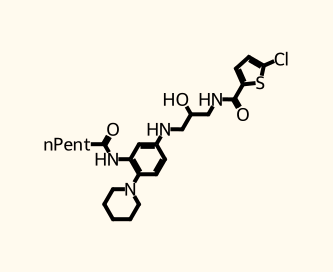 CCCCCC(=O)Nc1cc(NCC(O)CNC(=O)c2ccc(Cl)s2)ccc1N1CCCCC1